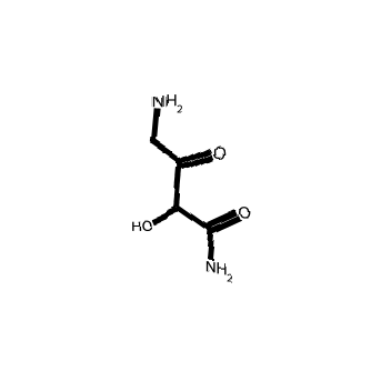 NCC(=O)C(O)C(N)=O